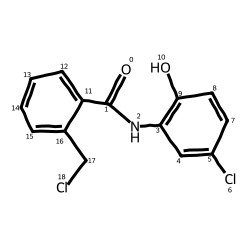 O=C(Nc1cc(Cl)ccc1O)c1ccccc1CCl